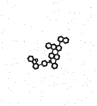 c1ccc(N(c2ccc(-c3cccc4ccccc34)cc2)c2ccc(-c3cccc4c3oc3ccccc34)cc2)c(-c2ccc(-c3ccc(-c4cccc5ccccc45)cc3)cc2)c1